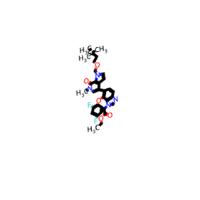 CCOC(=O)Cn1cnc2ccc(-c3cn(C)c(=O)c4c3ccn4COCC[Si](C)(C)C)c(Oc3ccc(F)cc3F)c21